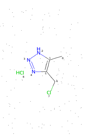 Cc1[nH]nnc1CCl.Cl